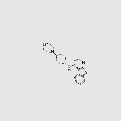 c1ccc2c(c1)sc1nccc(N[C@H]3CC[C@H](N4CCOCC4)CC3)c12